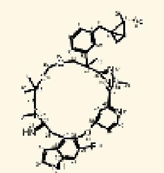 CC(=O)[C@]1(C)C2CC21Cc1cccc(C2(C)CCCCC(C)(C)CN(C)C(=N)Cc3c(c(F)cc4[nH]ccc34)Oc3ccnc(c3)-c3nc2nn3C)c1